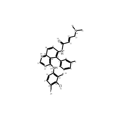 Cc1cccc(-c2c(NC(=O)/C=C/CN(C)C)ccc3ncnc(Nc4ccc(F)c(Cl)c4F)c23)c1